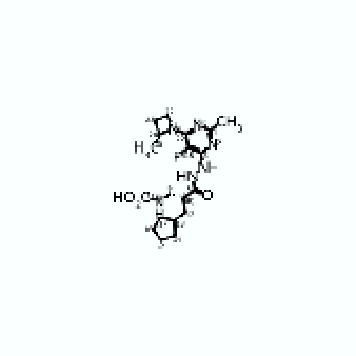 Cc1nc(NNC(=O)[C@@H](CNC(=O)O)CC2CCCC2)c(F)c(N2CCC2C)n1